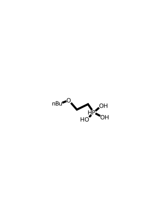 CCCCOCC[PH](O)(O)O